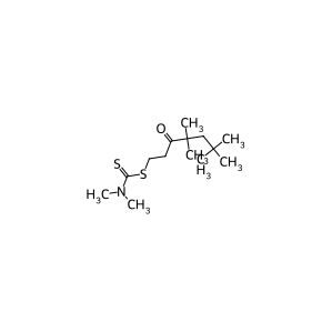 CN(C)C(=S)SCCC(=O)C(C)(C)CC(C)(C)C